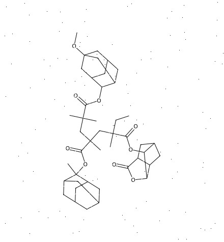 CCC(C)(CC(C)(CC(C)(C)C(=O)OC1C2CC3CC1CC(OC)(C3)C2)C(=O)OC1(C)C2CC3CC(C2)CC1C3)C(=O)OC1C2CC3C(=O)OC1C3C2